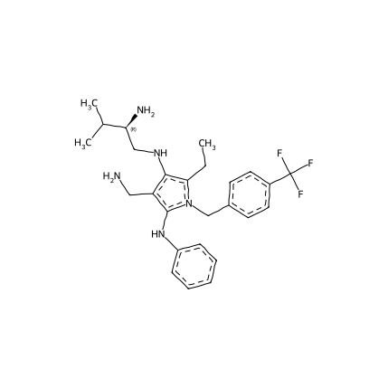 CCc1c(NC[C@H](N)C(C)C)c(CN)c(Nc2ccccc2)n1Cc1ccc(C(F)(F)F)cc1